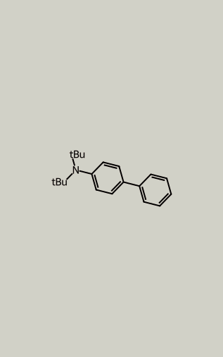 CC(C)(C)N(c1ccc(-c2ccccc2)cc1)C(C)(C)C